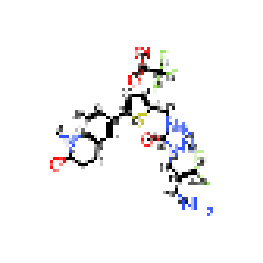 CN1C(=O)CCc2cc(-c3ccc(Cn4nnn(CC(CN)=C(F)F)c4=O)s3)ccc21.O=C(O)C(F)(F)F